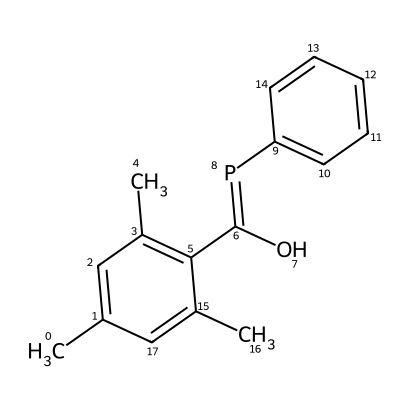 Cc1cc(C)c(C(O)=Pc2ccccc2)c(C)c1